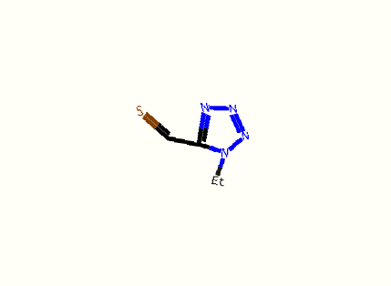 CCn1nnnc1C=S